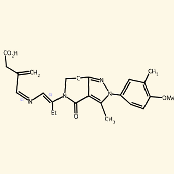 C=C(/C=N\C=C(/CC)N1CCc2nn(-c3ccc(OC)c(C)c3)c(C)c2C1=O)CC(=O)O